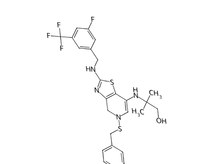 CC(C)(CO)NC1=CN(SCc2ccccc2)Cc2nc(NCc3cc(F)cc(C(F)(F)F)c3)sc21